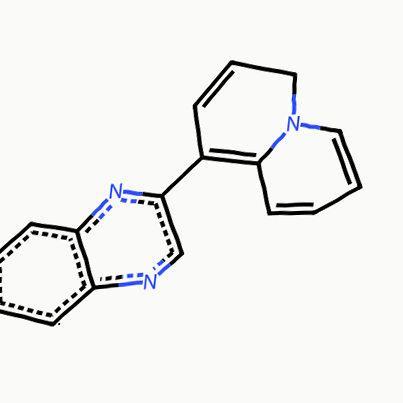 [c]1cccc2nc(C3=C4C=CC=CN4CC=C3)cnc12